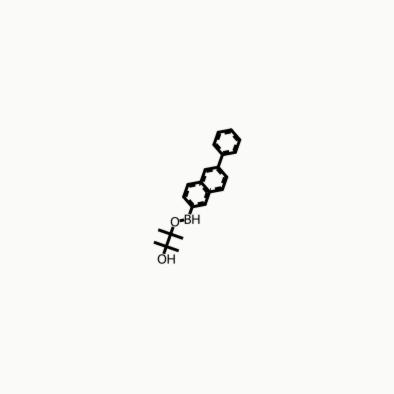 CC(C)(O)C(C)(C)OBc1ccc2cc(-c3ccccc3)ccc2c1